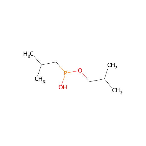 CC(C)COP(O)CC(C)C